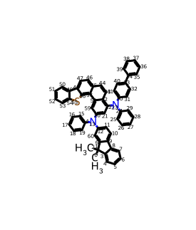 CC1(C)c2ccccc2-c2ccc(N(c3ccccc3)c3cc(N(c4ccccc4)c4ccc(-c5ccccc5)cc4)c4ccc5ccc6c7ccccc7sc6c5c4c3)cc21